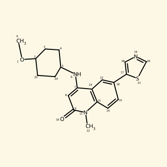 COC1CCC(Nc2cc(=O)n(C)c3ccc(-c4cncs4)cc23)CC1